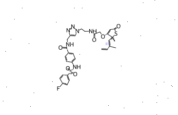 C=C/C(C)=C/[C@@]1(C)SC(=O)C=C1OCC(=O)NCCn1cc(CNC(=O)c2ccc(NS(=O)(=O)c3ccc(F)cc3)cc2)nn1